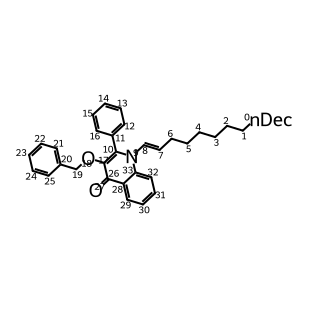 CCCCCCCCCCCCCCCCC=Cn1c(-c2ccccc2)c(OCc2ccccc2)c(=O)c2ccccc21